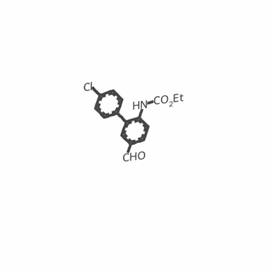 CCOC(=O)Nc1ccc(C=O)cc1-c1ccc(Cl)cc1